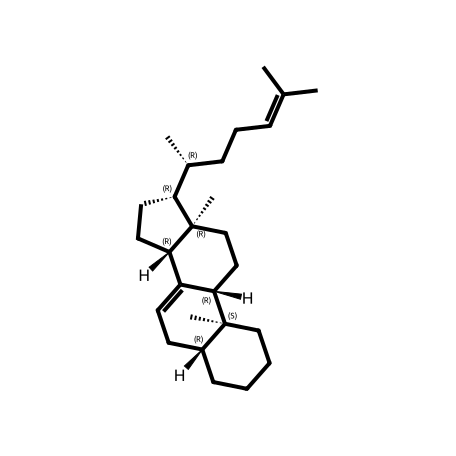 CC(C)=CCC[C@@H](C)[C@H]1CC[C@H]2C3=CC[C@H]4CCCC[C@]4(C)[C@H]3CC[C@]12C